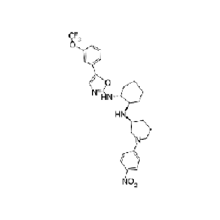 O=[N+]([O-])c1ccc(N2CCC[C@H](N[C@@H]3CCCC[C@H]3Nc3ncc(-c4cccc(OC(F)(F)F)c4)o3)C2)cc1